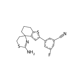 N#Cc1cc(F)cc(-c2cc3c(s2)CCCC32CCSC(N)=N2)c1